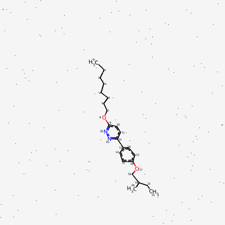 CCCCCCCCOc1ccc(-c2ccc(OCC(C)CC)cc2)nn1